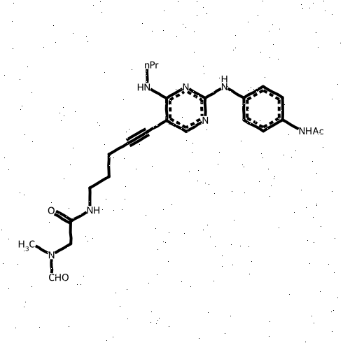 CCCNc1nc(Nc2ccc(NC(C)=O)cc2)ncc1C#CCCCNC(=O)CN(C)C=O